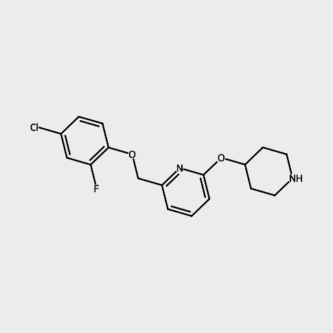 Fc1cc(Cl)ccc1OCc1cccc(OC2CCNCC2)n1